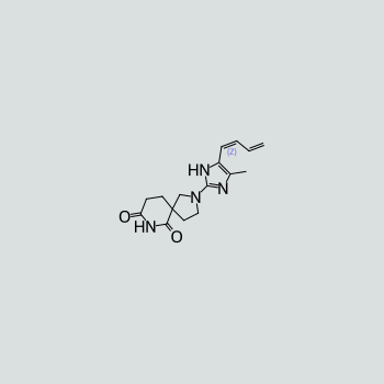 C=C/C=C\c1[nH]c(N2CCC3(CCC(=O)NC3=O)C2)nc1C